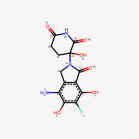 Nc1c(O)c(F)c(O)c2c1CN(C1(O)CCC(=O)NC1=O)C2=O